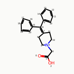 O=C(O)CN1CCC(=C(c2ccccc2)c2ccccc2)CC1